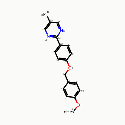 CCCCCCOc1ccc(COc2ccc(-c3ncc(CCC)cn3)cc2)cc1